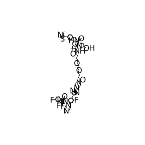 Cc1ncsc1-c1ccc(CNC(=O)[C@@H]2C[C@@H](O)CN2C(=O)[C@@H](NC(=O)CCCOCCOCCCC(=O)N2CCN(c3ncc(-c4cc(NC(=O)c5ccc(F)cc5C(F)(F)F)c(N5C[C@@H](C)N(C)[C@@H](C)C5)cc4F)cn3)CC2)C(C)(C)C)cc1